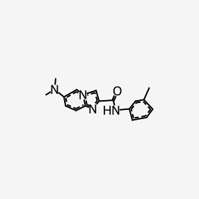 Cc1cccc(NC(=O)c2cn3cc(N(C)C)ccc3n2)c1